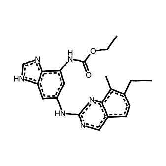 CCOC(=O)Nc1cc(Nc2ncc3ccc(CC)c(C)c3n2)cc2[nH]cnc12